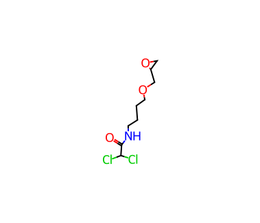 O=C(NCCCCOCC1CO1)C(Cl)Cl